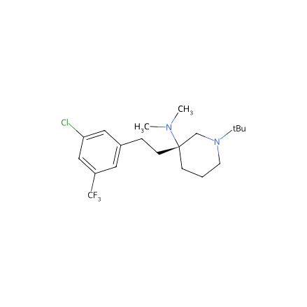 CN(C)[C@@]1(CCc2cc(Cl)cc(C(F)(F)F)c2)CCCN(C(C)(C)C)C1